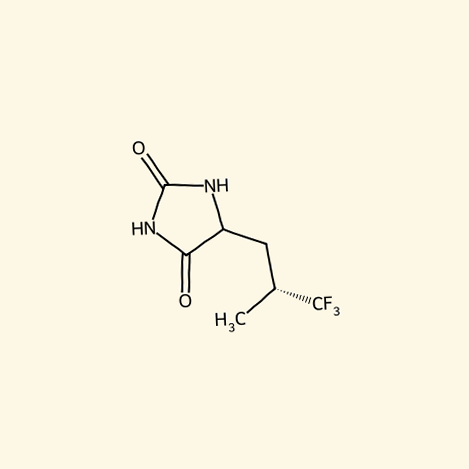 C[C@H](CC1NC(=O)NC1=O)C(F)(F)F